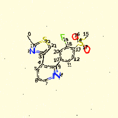 Cc1nc(-c2cccnc2-c2ccc(S(C)(=O)=O)c(F)c2)cs1